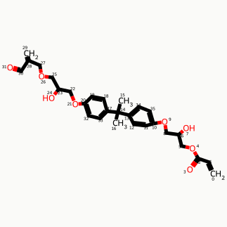 C=CC(=O)OCC(O)COc1ccc(C(C)(C)c2ccc(OCC(O)COCC(=C)C=O)cc2)cc1